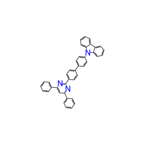 c1ccc(-c2cc(-c3ccccc3)nc(-c3ccc(-c4ccc(-n5c6ccccc6c6ccccc65)cc4)cc3)n2)cc1